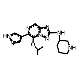 CC(C)Oc1c(-c2cn[nH]c2)ncc2nc(N[C@@H]3CCCNC3)nn12